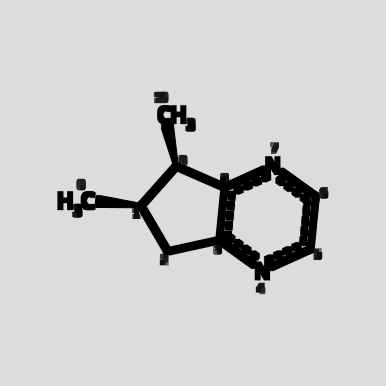 C[C@@H]1Cc2nccnc2[C@@H]1C